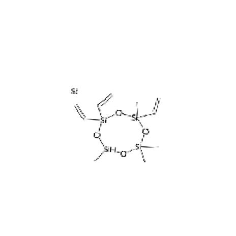 C=C[Si]1(C)O[Si](C)(C)O[SiH](C)O[Si](C=C)(C=C)O1.[Si]